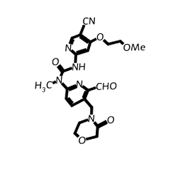 COCCOc1cc(NC(=O)N(C)c2ccc(CN3CCOCC3=O)c(C=O)n2)ncc1C#N